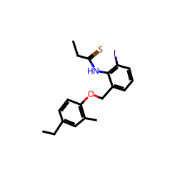 CCC(=S)Nc1c(I)cccc1COc1ccc(CC)cc1C